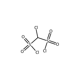 O=S(=O)(Cl)C(Cl)S(=O)(=O)Cl